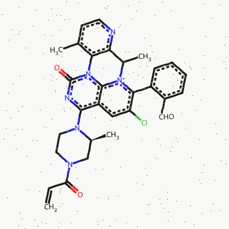 C=CC(=O)N1CCN(c2nc(=O)n3c4c2cc(Cl)c(-c2ccccc2C=O)[n+]4C(C)c2nccc(C)c2-3)[C@@H](C)C1